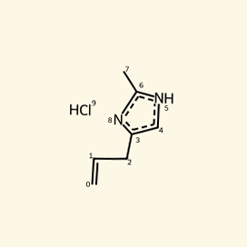 C=CCc1c[nH]c(C)n1.Cl